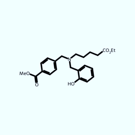 CCOC(=O)CCCCN(Cc1ccc(C(=O)OC)cc1)Cc1ccccc1O